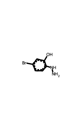 NNc1ccc(Br)cc1O